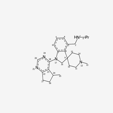 CC(C)NCc1cccc2c1C1(CCN(C)CC1)CN2c1ncnc2c1C(C)CC2